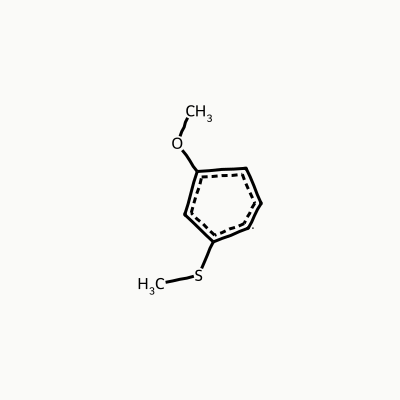 COc1cc[c]c(SC)c1